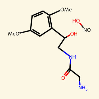 COc1ccc(OC)c(C(O)CNC(=O)CN)c1.O=NO